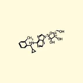 Cc1ccccc1C(Nc1ncnc2c1ncn2[C@@H]1O[C@H](CO)[C@@H](O)[C@H]1O)C1CC1